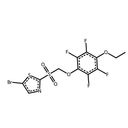 CCOc1c(F)c(F)c(OCS(=O)(=O)c2ncc(Br)s2)c(F)c1F